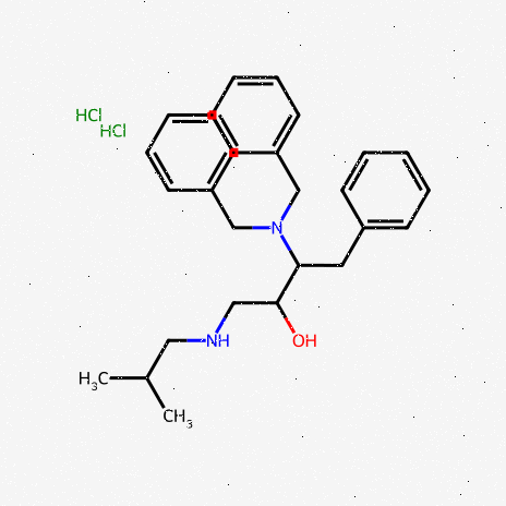 CC(C)CNCC(O)C(Cc1ccccc1)N(Cc1ccccc1)Cc1ccccc1.Cl.Cl